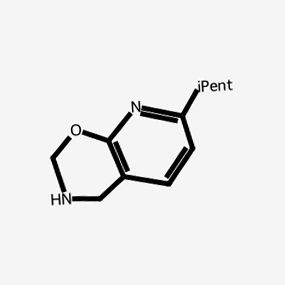 CCCC(C)c1ccc2c(n1)OCNC2